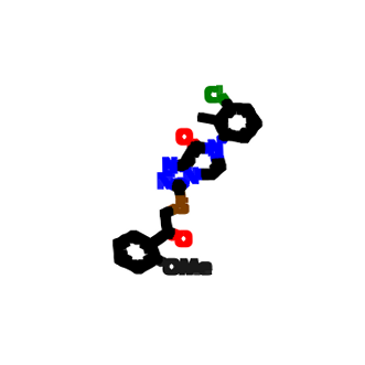 COc1ccccc1C(=O)CSc1nnc2c(=O)n(-c3cccc(Cl)c3C)ccn12